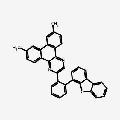 Cc1ccc2c(c1)c1cc(C)ccc1c1nc(-c3ccccc3-c3cccc4c3oc3ccccc34)cnc21